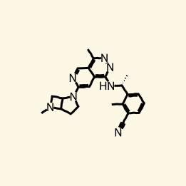 Cc1c(C#N)cccc1[C@@H](C)Nc1nnc(C)c2cnc(N3CCC4C3CN4C)cc12